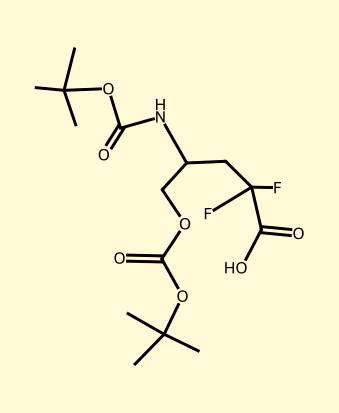 CC(C)(C)OC(=O)NC(COC(=O)OC(C)(C)C)CC(F)(F)C(=O)O